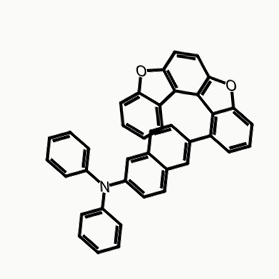 c1ccc(N(c2ccccc2)c2ccc3cc(-c4cccc5oc6ccc7oc8ccccc8c7c6c45)ccc3c2)cc1